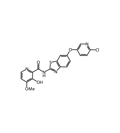 COc1ccnc(C(=O)Nc2nc3ccc(Oc4ccc(Cl)nc4)cc3s2)c1O